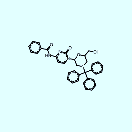 O=C(Nc1ccn(C2CN(C(c3ccccc3)(c3ccccc3)c3ccccc3)CC(CO)O2)c(=O)n1)c1ccccc1